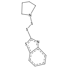 c1ccc2sc(SSN3CCCC3)nc2c1